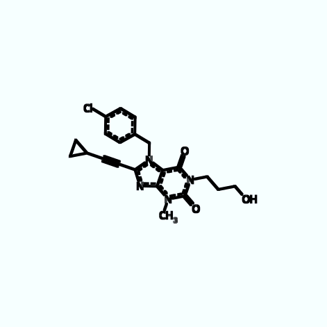 Cn1c(=O)n(CCCO)c(=O)c2c1nc(C#CC1CC1)n2Cc1ccc(Cl)cc1